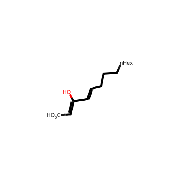 CCCCCCCCCC=CC(O)=CC(=O)O